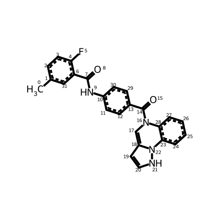 Cc1ccc(F)c(C(=O)Nc2ccc(C(=O)N3C=C4C=CNN4c4ccccc43)cc2)c1